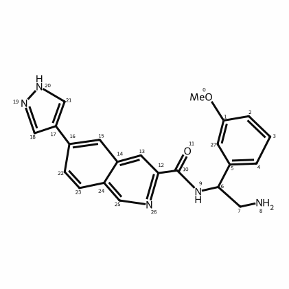 COc1cccc(C(CN)NC(=O)c2cc3cc(-c4cn[nH]c4)ccc3cn2)c1